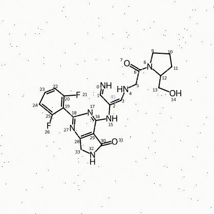 N=C/C(=C\NCC(=O)N1CCCC1CO)Nc1nc(-c2c(F)cccc2F)nc2c1C(=O)NC2